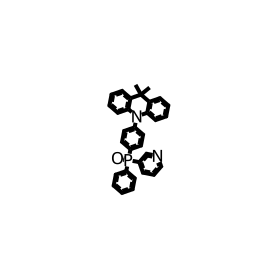 CC1(C)c2ccccc2N(c2ccc(P(=O)(c3ccccc3)c3cccnc3)cc2)c2ccccc21